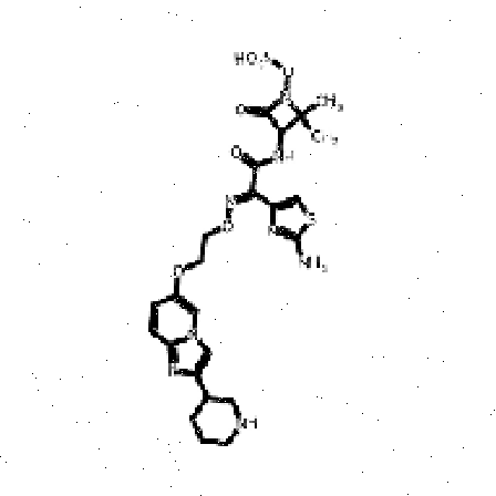 CC1(C)C(NC(=O)C(=NOCCOc2ccc3nc(C4CCCNC4)cn3c2)c2csc(N)n2)C(=O)N1OS(=O)(=O)O